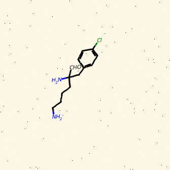 NCCCCC(N)([C]=O)Cc1ccc(Cl)cc1